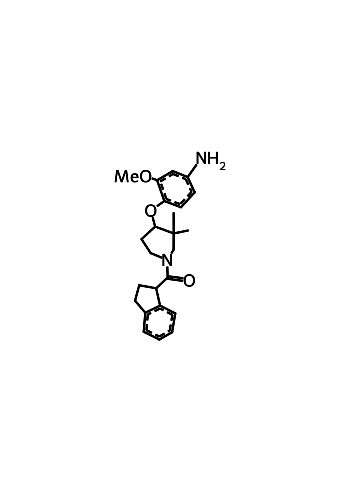 COc1cc(N)ccc1OC1CCN(C(=O)C2CCc3ccccc32)CC1(C)C